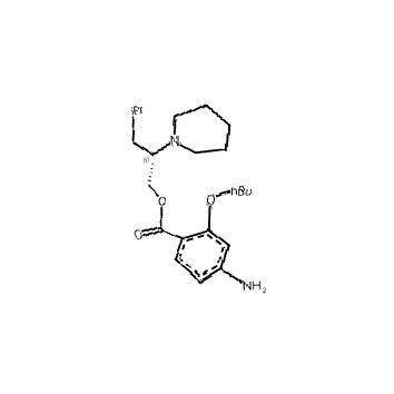 CCCCOc1cc(N)ccc1C(=O)OC[C@H](CC(C)C)N1CCCCC1